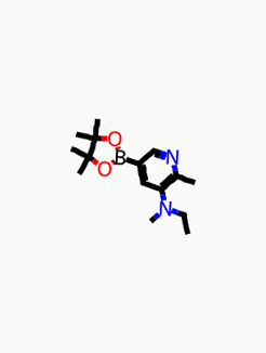 CCN(C)c1cc(B2OC(C)(C)C(C)(C)O2)cnc1C